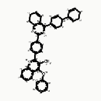 Cc1c(-c2ccc(-c3nc4c(c(C5=CCC(C6=CCCC=C6)C=C5)n3)C=CCC4)cc2)nc2ccccc2c1Oc1ccccc1